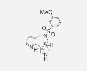 COc1cccc(S(=O)(=O)N2Cc3cccnc3[C@@H]3CNC[C@H]3C2)c1